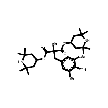 CCCCC(Cc1cc(C(C)(C)C)c(O)c(C(C)(C)C)c1)(C(=O)OC1CC(C)(C)NC(C)(C)C1)C(=O)OC1CC(C)(C)NC(C)(C)C1